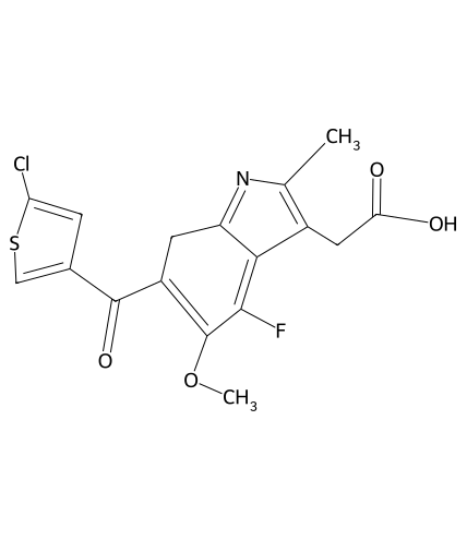 COC1=C(C(=O)c2csc(Cl)c2)CC2=NC(C)=C(CC(=O)O)C2=C1F